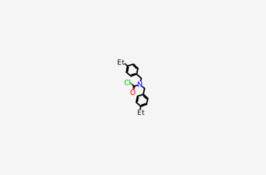 CCc1ccc(CN(Cc2ccc(CC)cc2)C(=O)Cl)cc1